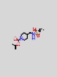 C=C(C)OC(=O)N1CCC(CNS(=O)(=O)C(C)C)CC1